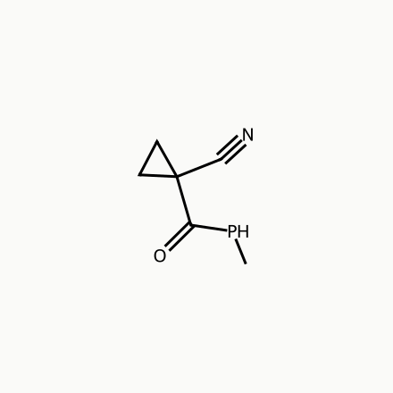 CPC(=O)C1(C#N)CC1